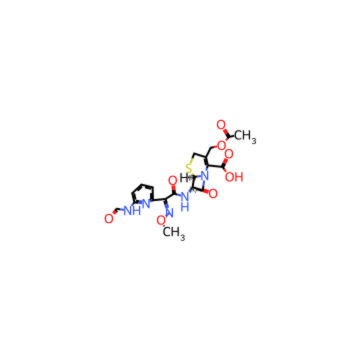 CON=C(C(=O)N[C@@H]1C(=O)N2C(C(=O)O)=C(COC(C)=O)CS[C@H]12)c1cccc(NC=O)n1